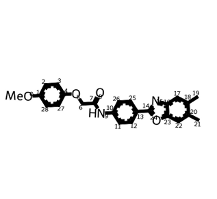 COc1ccc(OCC(=O)Nc2ccc(-c3nc4cc(C)c(C)cc4o3)cc2)cc1